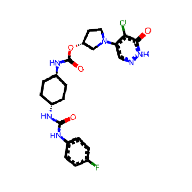 O=C(Nc1ccc(F)cc1)N[C@H]1CC[C@H](NC(=O)O[C@@H]2CCN(c3cn[nH]c(=O)c3Cl)C2)CC1